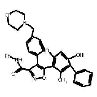 CCNC(=O)c1noc(-c2c(O)cc(O)c(-c3ccccc3)c2C)c1-c1ccc(CN2CCOCC2)cc1